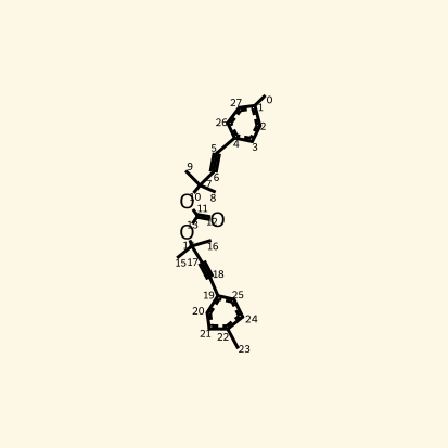 Cc1ccc(C#CC(C)(C)OC(=O)OC(C)(C)C#Cc2ccc(C)cc2)cc1